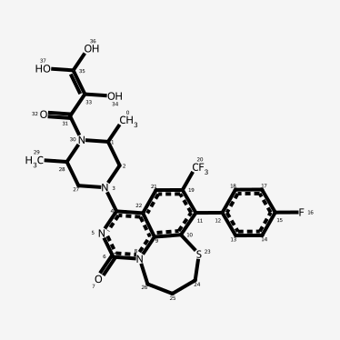 CC1CN(c2nc(=O)n3c4c(c(-c5ccc(F)cc5)c(C(F)(F)F)cc24)SCCC3)CC(C)N1C(=O)C(O)=C(O)O